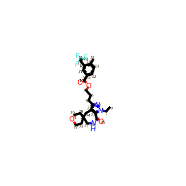 CCn1nc(CCCOC(=O)c2ccc(C)c(C(F)(F)F)c2)c2c1C(=O)NCC1(CCOCC1)C2